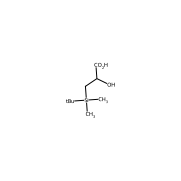 CC(C)(C)[Si](C)(C)CC(O)C(=O)O